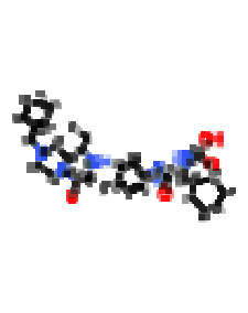 CCCN[C@H](Cc1ccc(NC(=O)[C@@H](NC(=O)O)C2CCCCC2)cc1)C(=O)N1CCN(Cc2ccccc2)CC1